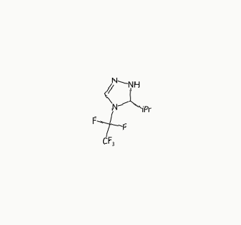 CC(C)C1NN=CN1C(F)(F)C(F)(F)F